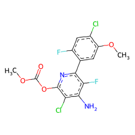 COC(=O)Oc1nc(-c2cc(OC)c(Cl)cc2F)c(F)c(N)c1Cl